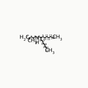 C=C(C)CCCNCC(CCCCCCC)CCCCCCC